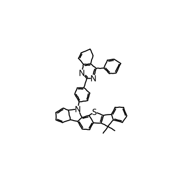 CC1(C)c2ccccc2-c2sc3c4c(ccc3c21)C1C=CC=CC1N4c1ccc(-c2nc3c(c(-c4ccccc4)n2)CCC=C3)cc1